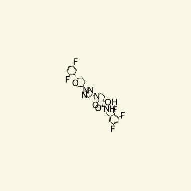 O=C(NCc1cc(F)cc(F)c1F)C1(O)CCN(c2cnn([C@@H]3CC[C@@H](c4cc(F)ccc4F)OC3)n2)C1=O